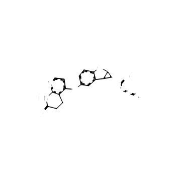 [N-]=[N+]=NC(=O)[C@H]1C2Oc3ccc(Oc4ccnc5c4CCC(=O)N5)cc3C21